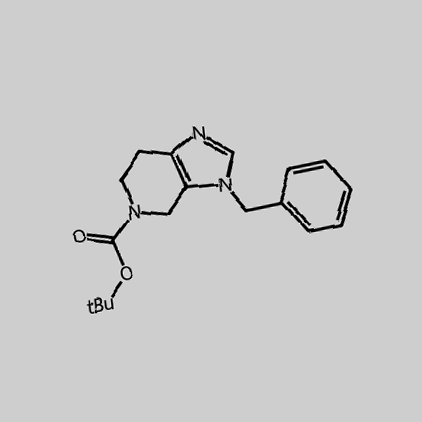 CC(C)(C)OC(=O)N1CCc2ncn(Cc3ccccc3)c2C1